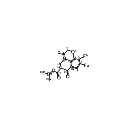 C[C@H]1COc2c(F)c(F)cc3c2N1CC(C(=O)OB(F)F)C3=O